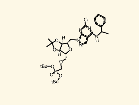 CC(Nc1nc(Cl)nc2c1cnn2C[C@H]1O[C@H](COCP(=O)(OC(C)(C)C)OC(C)(C)C)[C@H]2OC(C)(C)O[C@H]21)c1ccccc1